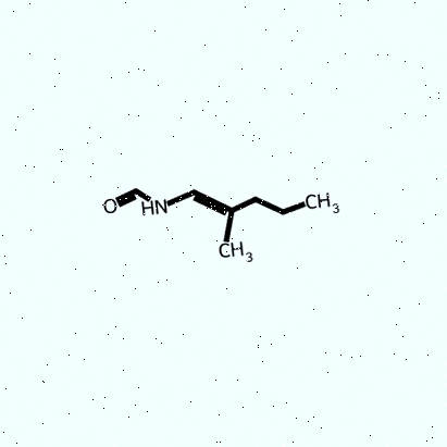 CCC/C(C)=C/NC=O